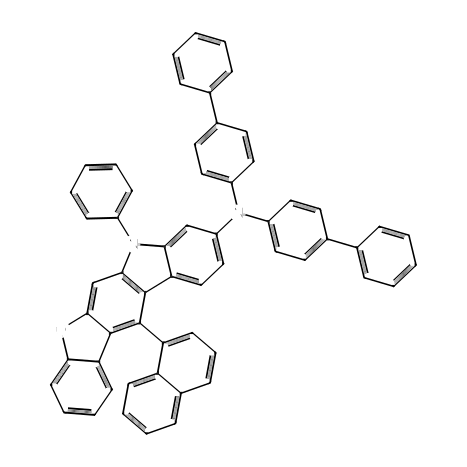 c1ccc(-c2ccc(N(c3ccc(-c4ccccc4)cc3)c3ccc4c5c(-c6cccc7ccccc67)c6c(cc5n(-c5ccccc5)c4c3)oc3ccccc36)cc2)cc1